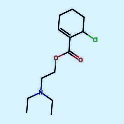 CCN(CC)CCOC(=O)C1=CCCCC1Cl